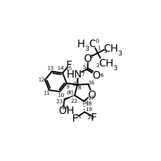 CC(C)(C)OC(=O)N[C@@]1(c2ccccc2F)CO[C@H](C(F)F)[C@H]1CO